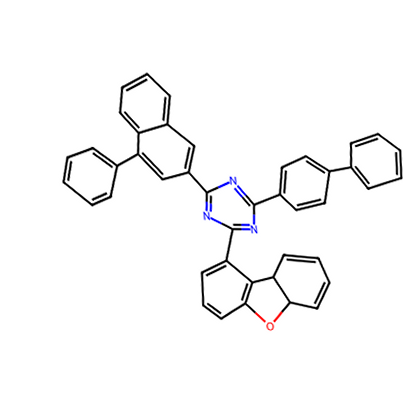 C1=CC2Oc3cccc(-c4nc(-c5ccc(-c6ccccc6)cc5)nc(-c5cc(-c6ccccc6)c6ccccc6c5)n4)c3C2C=C1